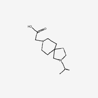 CC(C)N1CCC2(CCN(CC(=O)O)CC2)C1